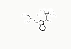 CC1(C)C(C(=O)c2cn(CCC(O)CO)c3ccccc23)C1(C)C